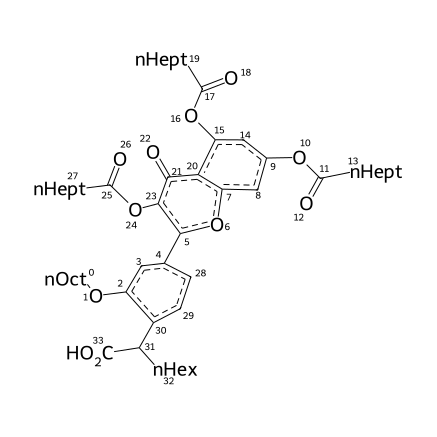 CCCCCCCCOc1cc(-c2oc3cc(OC(=O)CCCCCCC)cc(OC(=O)CCCCCCC)c3c(=O)c2OC(=O)CCCCCCC)ccc1C(CCCCCC)C(=O)O